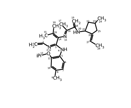 C=C/N=C(/Nc1ccc(C)cc1OC(C)C)C(/N=C(\C)C(=C)NC1CC(C)C/C1=C\C)=C(C)C